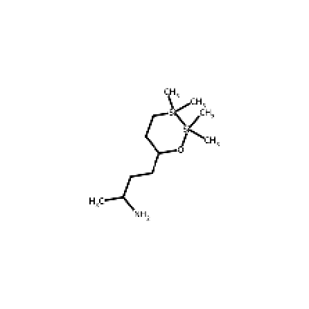 CC(N)CCC1CC[Si](C)(C)[Si](C)(C)O1